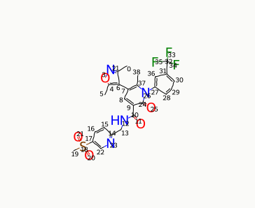 Cc1noc(C)c1-c1cc(C(=O)NCc2ccc(S(C)(=O)=O)cn2)c(=O)n(-c2cccc(C(F)(F)F)c2)c1C